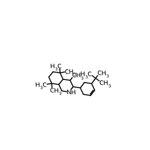 CC1C(C2CC=CC(C(C)(C)C)C2)NCC2C1C(C)(C)CCC2(C)C